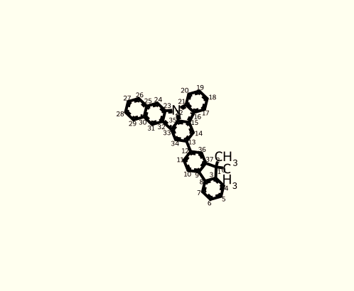 CC1(C)c2ccccc2-c2ccc(-c3cc4c5ccccc5n5c6cc7ccccc7cc6c(c3)c45)cc21